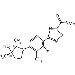 CNC(=O)c1nc(-c2ccc(N3CC[C@](C)(O)[C@@H]3C)c(C)c2F)no1